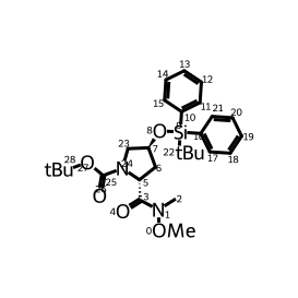 CON(C)C(=O)[C@H]1C[C@H](O[Si](c2ccccc2)(c2ccccc2)C(C)(C)C)CN1C(=O)OC(C)(C)C